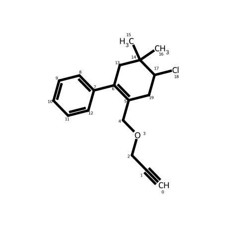 C#CCOCC1=C(c2ccccc2)CC(C)(C)C(Cl)C1